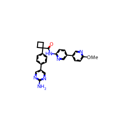 COc1ccc(-c2ccc(NC(=O)C3(c4ccc(-c5cnc(N)nc5)cc4)CCC3)nc2)cn1